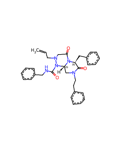 C=CCN1CC(=O)N2[C@@H](Cc3ccccc3)C(=O)N(CCc3ccccc3)C[C@@H]2N1C(=O)NCc1ccccc1